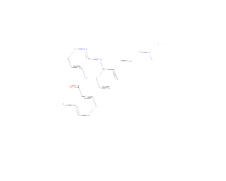 CN(C)CCCc1ccccc1Nc1ncccc1NC(=O)c1ccccc1[N+](=O)[O-]